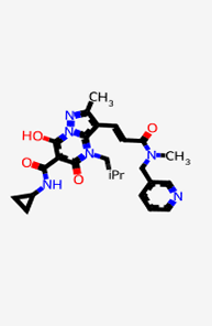 Cc1nn2c(O)c(C(=O)NC3CC3)c(=O)n(CC(C)C)c2c1C=CC(=O)N(C)Cc1cccnc1